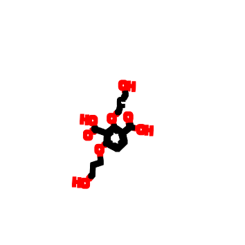 O=C(O)c1ccc(OCCCO)c(C(=O)O)c1OCCCO